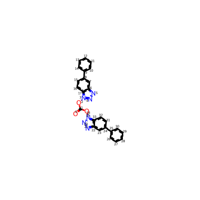 O=C(On1nnc2cc(-c3ccccc3)ccc21)On1nnc2cc(-c3ccccc3)ccc21